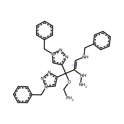 NN/C(=C\NCc1ccccc1)C(OCP)(c1cn(Cc2ccccc2)nn1)c1cn(Cc2ccccc2)nn1